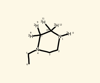 [2H]N1CCN(CC)C([2H])([2H])C1([2H])[2H]